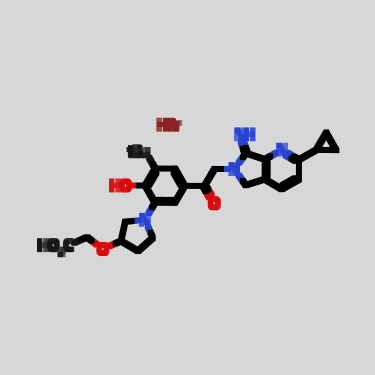 Br.CC(C)(C)c1cc(C(=O)CN2Cc3ccc(C4CC4)nc3C2=N)cc(N2CCC(OCC(=O)O)C2)c1O